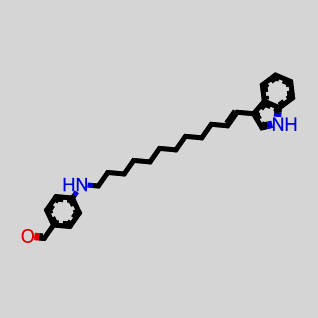 O=Cc1ccc(NCCCCCCCCCC/C=C/c2c[nH]c3ccccc23)cc1